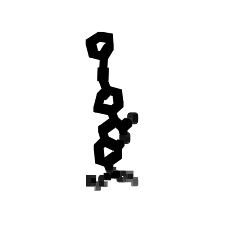 CN(C)c1ccc2cc(-c3ccc(C#Cc4ccccc4)cc3)c(=O)oc2c1